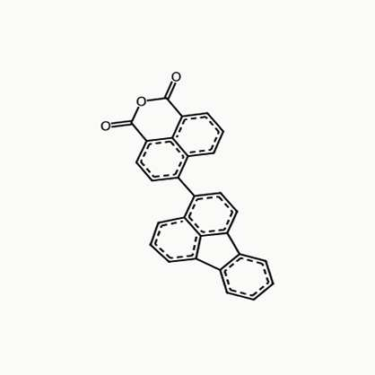 O=C1OC(=O)c2ccc(-c3ccc4c5c(cccc35)-c3ccccc3-4)c3cccc1c23